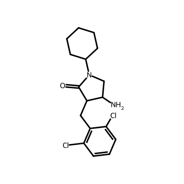 NC1CN(C2CCCCC2)C(=O)C1Cc1c(Cl)cccc1Cl